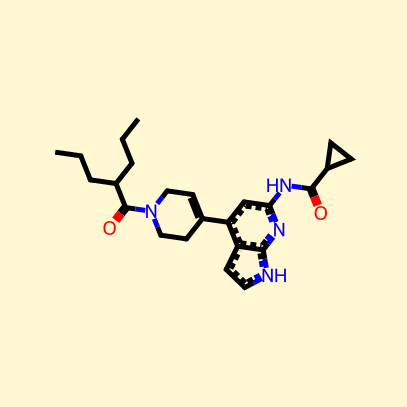 CCCC(CCC)C(=O)N1CC=C(c2cc(NC(=O)C3CC3)nc3[nH]ccc23)CC1